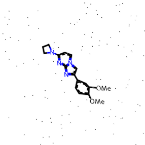 COc1ccc(-c2cn3ccc(N4CCC4)nc3n2)cc1OC